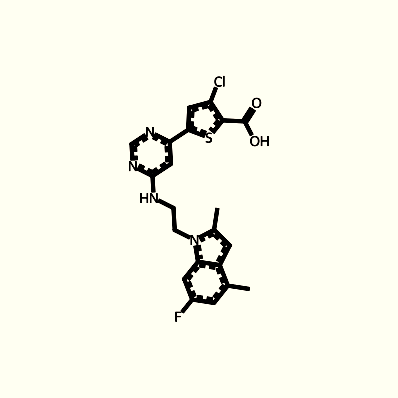 Cc1cc(F)cc2c1cc(C)n2CCNc1cc(-c2cc(Cl)c(C(=O)O)s2)ncn1